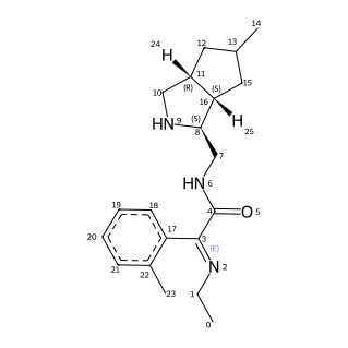 CC/N=C(/C(=O)NC[C@H]1NC[C@@H]2CC(C)C[C@@H]21)c1ccccc1C